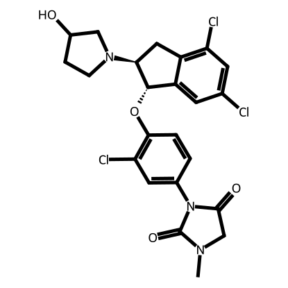 CN1CC(=O)N(c2ccc(O[C@H]3c4cc(Cl)cc(Cl)c4C[C@@H]3N3CCC(O)C3)c(Cl)c2)C1=O